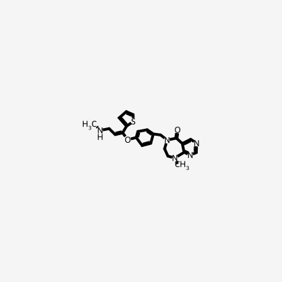 CNC/C=C(/Oc1ccc(CN2CCN(C)c3ncncc3C2=O)cc1)c1cccs1